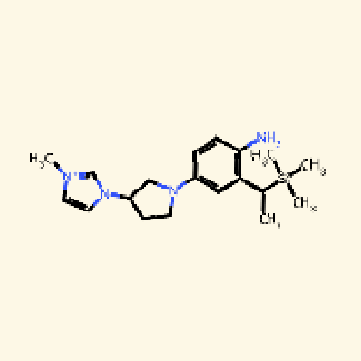 CC(c1cc(N2CCC(n3cc[n+](C)c3)C2)ccc1N)[Si](C)(C)C